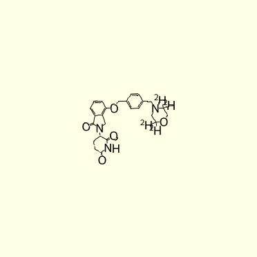 [2H]C1([2H])CN(Cc2ccc(COc3cccc4c3CN(C3CCC(=O)NC3=O)C4=O)cc2)C([2H])([2H])CO1